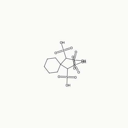 O=S(=O)(O)C(C1(C(S(=O)(=O)O)S(=O)(=O)O)CCCCC1)S(=O)(=O)O